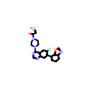 C=CC(=O)N1CCN(c2ncnc3cc(-c4cccc5ncoc45)c(Cl)cc23)CC1